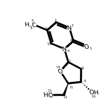 Cc1cnc(=O)n(C2C[C@H](O)[C@@H](CO)O2)c1